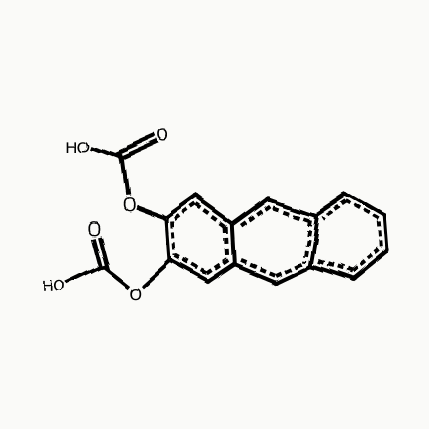 O=C(O)Oc1cc2cc3ccccc3cc2cc1OC(=O)O